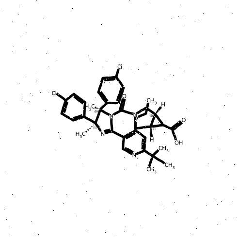 CCOc1cc(C(C)(C)C)ncc1C1=N[C@@](C)(c2ccc(Cl)cc2)[C@@](C)(c2ccc(Cl)cc2)N1C(=O)N1C[C@@H]2C(C(=O)O)[C@@H]2C1